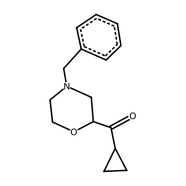 O=C(C1CC1)C1CN(Cc2ccccc2)CCO1